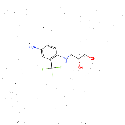 Nc1ccc(NCC(O)CO)c(C(F)(F)F)c1